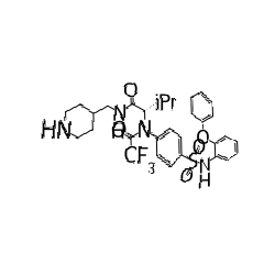 CC(C)[C@@H](C(=O)NCC1CCNCC1)N(C(=O)C(F)(F)F)c1ccc(S(=O)(=O)Nc2ccccc2Oc2ccccc2)cc1